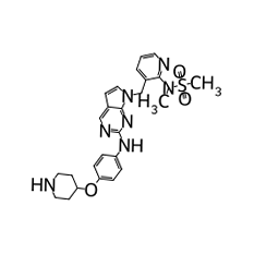 CN(c1ncccc1Cn1ccc2cnc(Nc3ccc(OC4CCNCC4)cc3)nc21)S(C)(=O)=O